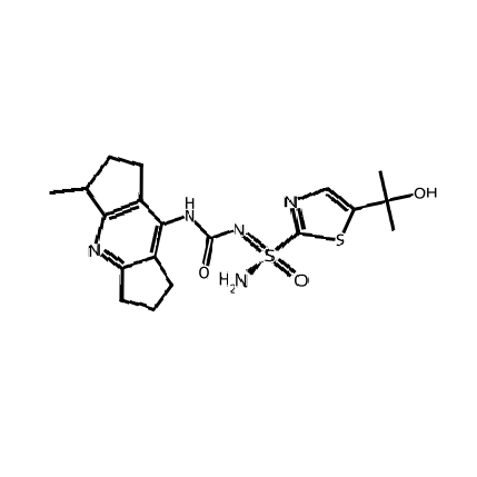 CC1CCc2c1nc1c(c2NC(=O)N=[S@@](N)(=O)c2ncc(C(C)(C)O)s2)CCC1